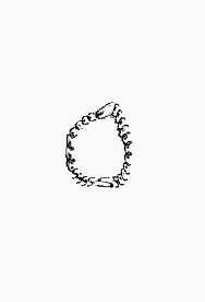 C1CCCCCCCCCSSSSSSCCCCCCCC1